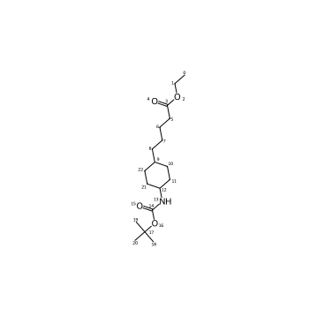 CCOC(=O)CCCCC1CCC(NC(=O)OC(C)(C)C)CC1